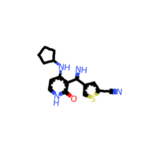 N#Cc1cc(C(=N)c2c(NC3CCCC3)cc[nH]c2=O)cs1